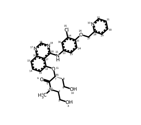 CN(CCO)C(=O)[C@@H](CCO)Oc1cccc2ncnc(Nc3ccc(OCc4ccccn4)c(Cl)c3)c12